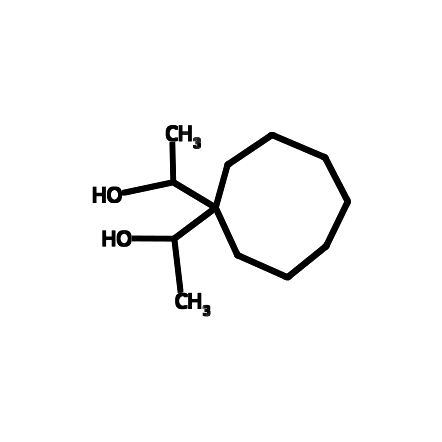 CC(O)C1(C(C)O)CCCCCCC1